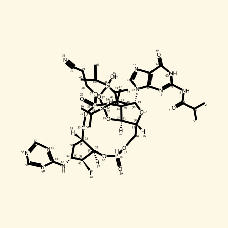 CC(C)C(=O)Nc1nc2c(ncn2[C@@H]2O[C@@H]3CO[PH](=O)O[C@@H]4[C@@H](COP(=O)(OCCC#N)O[C@@H]2[C@@H]3O[Si](O[Si](O)(C(C)C)C(C)C)(C(C)C)C(C)C)C[C@@H](Nc2ncncn2)[C@@H]4F)c(=O)[nH]1